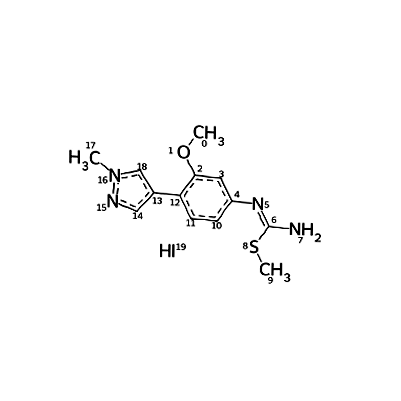 COc1cc(N=C(N)SC)ccc1-c1cnn(C)c1.I